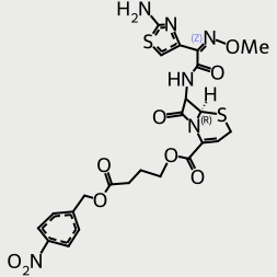 CO/N=C(\C(=O)NC1C(=O)N2C(C(=O)OCCCC(=O)OCc3ccc([N+](=O)[O-])cc3)=CCS[C@H]12)c1csc(N)n1